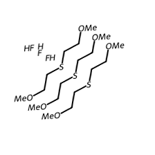 COCCSCCOC.COCCSCCOC.COCCSCCOC.F.F.F